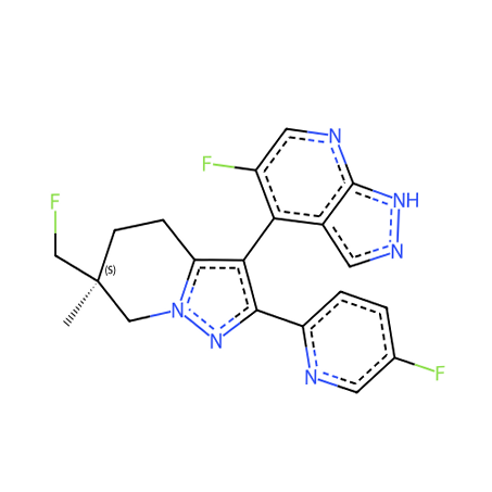 C[C@]1(CF)CCc2c(-c3c(F)cnc4[nH]ncc34)c(-c3ccc(F)cn3)nn2C1